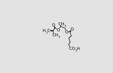 C=C(C)C(=O)OC(C)COC(=O)CCCCC(=O)O